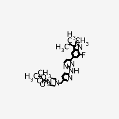 CC(C)c1c2cc(-c3ccnc(Nc4ccc(CN5CCN(C(=O)OC(C)(C)C)CC5)cn4)n3)cc(F)c2nn1C